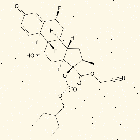 CCC(CC)COC(=O)O[C@]1(C(=O)OCC#N)[C@H](C)C[C@H]2[C@@H]3C[C@H](F)C4=CC(=O)C=C[C@]4(C)[C@@]3(F)[C@@H](O)C[C@@]21C